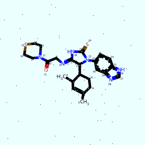 CC1=CC(C)C(C2/C(=N/CC(=O)N3CCSCC3)NC(=S)N2c2ccc3[nH]cnc3c2)CC1